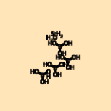 O.OB(O)O.OB(O)O.OB(O)O.OB(O)O.[SrH2]